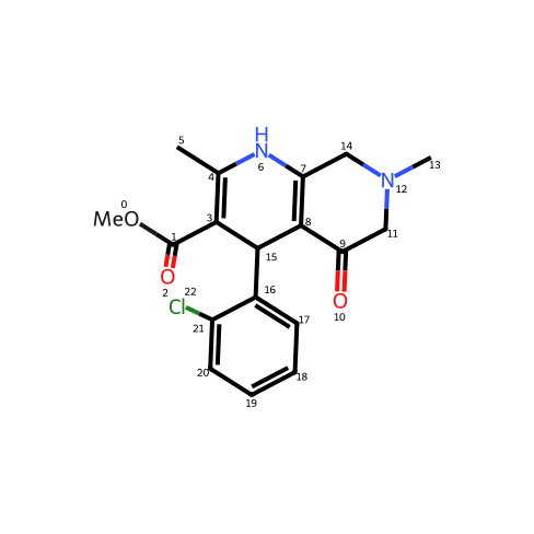 COC(=O)C1=C(C)NC2=C(C(=O)CN(C)C2)C1c1ccccc1Cl